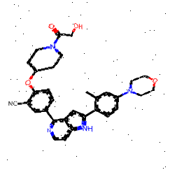 Cc1cc(N2CCOCC2)ccc1-c1cc2c(-c3ccc(OC4CCN(C(=O)CO)CC4)c(C#N)c3)nccc2[nH]1